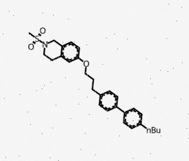 CCCCc1ccc(-c2ccc(CCCOc3ccc4c(c3)CCN(S(C)(=O)=O)C4)cc2)cc1